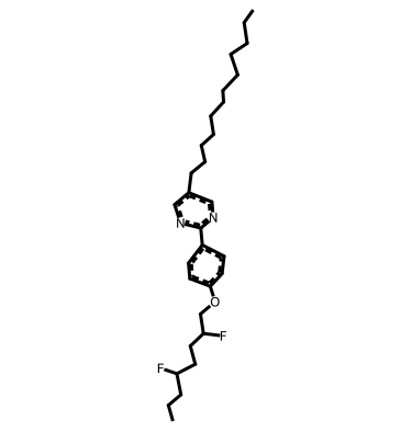 CCCCCCCCCCCCc1cnc(-c2ccc(OCC(F)CCC(F)CCC)cc2)nc1